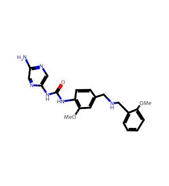 COc1ccccc1CNCc1ccc(NC(=O)Nc2cnc(N)cn2)c(OC)c1